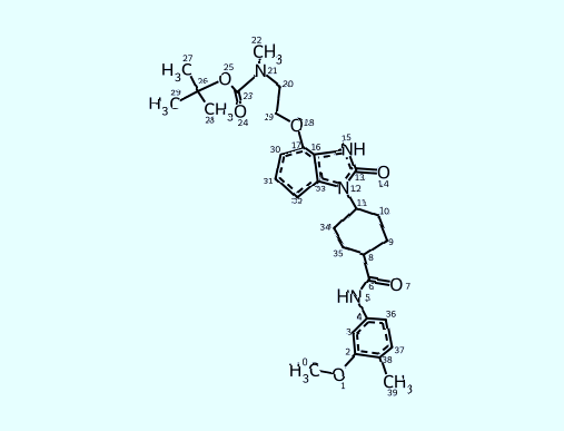 COc1cc(NC(=O)C2CCC(n3c(=O)[nH]c4c(OCCN(C)C(=O)OC(C)(C)C)cccc43)CC2)ccc1C